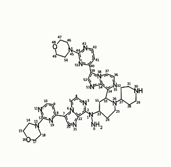 NN(c1nccn2c(-c3ccnc(N4CCOCC4)n3)cnc12)C1CCN(C2CCNCC2)C(c2nccn3c(-c4ccnc(N5CCOCC5)n4)cnc23)C1